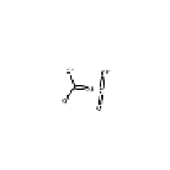 O=C([O-])[O-].[C+2]=C=O